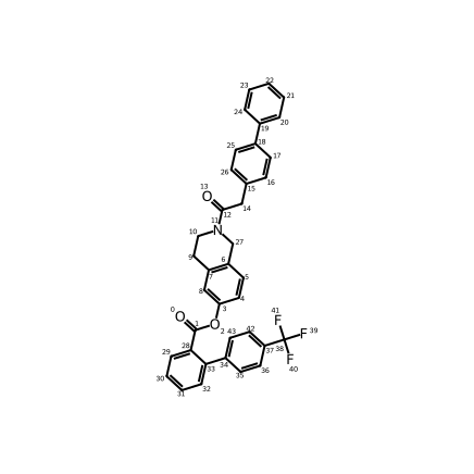 O=C(Oc1ccc2c(c1)CCN(C(=O)Cc1ccc(-c3ccccc3)cc1)C2)c1ccccc1-c1ccc(C(F)(F)F)cc1